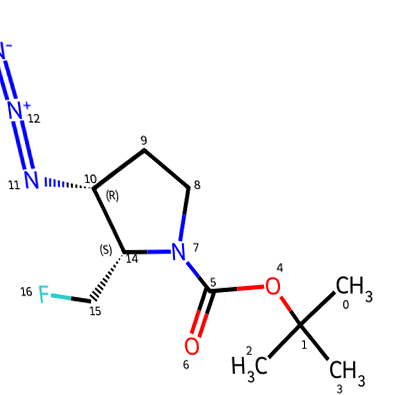 CC(C)(C)OC(=O)N1CC[C@@H](N=[N+]=[N-])[C@H]1CF